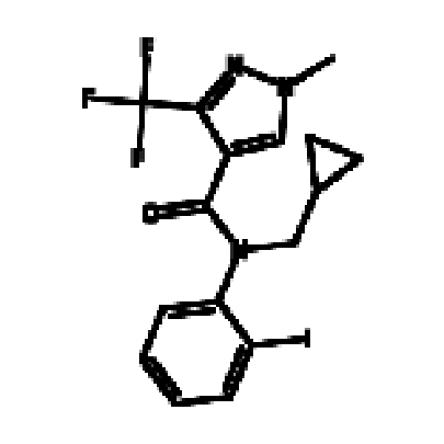 Cn1cc(C(=O)N(CC2CC2)c2ccccc2I)c(C(F)(F)F)n1